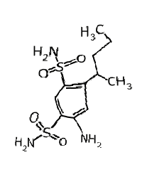 CCCC(C)c1cc(N)c(S(N)(=O)=O)cc1S(N)(=O)=O